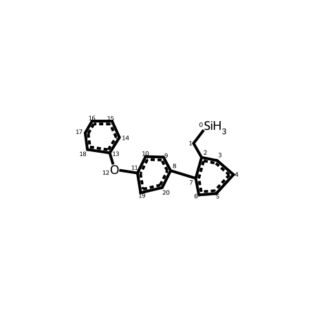 [SiH3]Cc1ccccc1-c1ccc(Oc2ccccc2)cc1